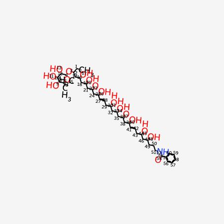 CCC(OC1OC(C)C(O)C(O)C1O)C(C)C(=O)CC(O)CC(O)CC(O)/C=C/CC(O)CC(O)CC(O)CC(O)/C=C/CC(O)CC(O)CCCNC(=O)c1ccccc1